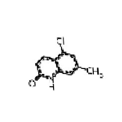 Cc1cc(Cl)c2ccc(=O)[nH]c2c1